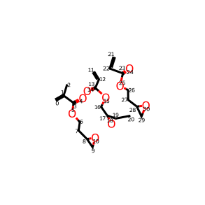 C=C(C)C(=O)OCCC1CO1.C=CC(=O)OCC1OC1C.C=CC(=O)OCCC1CO1